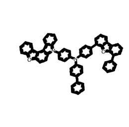 c1ccc(-c2ccc(N(c3ccc(-c4cccc5c4oc4c(-c6ccccc6)cccc45)cc3)c3ccc(-n4c5ccccc5c5c6c(ccc54)oc4ccccc46)cc3)cc2)cc1